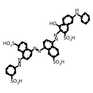 O=S(=O)(O)c1cccc(N=Nc2ccc(N=Nc3ccc(N=Nc4c(S(=O)(=O)O)cc5cc(Nc6ccccc6)ccc5c4O)c4ccc(S(=O)(=O)O)cc34)c3ccc(S(=O)(=O)O)cc23)c1